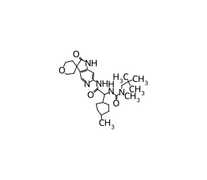 CC1CCC(C(NC(=O)N(C)CC(C)(C)C)C(=O)Nc2cc3c(cn2)C2(CCOCC2)C(=O)N3)CC1